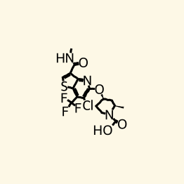 CNC(=O)c1csc2c(C(F)(F)F)c(Cl)c(O[C@@H]3CCN(C(=O)O)[C@H](C)C3)nc12